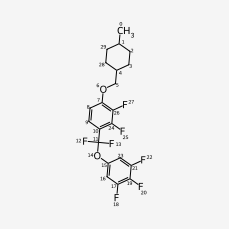 CC1CCC(COc2ccc(C(F)(F)Oc3cc(F)c(F)c(F)c3)c(F)c2F)CC1